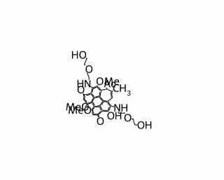 COc1c(NCCOCCO)c2c(=O)cc(OC)c3c4c(OC)cc(=O)c5c(O)c(NCCOCCO)c6c(c(c1C(C(C)=O)C(C)=C6)c23)c54